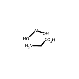 NCC(=O)O.[OH][Al][OH]